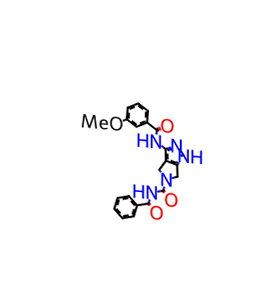 COc1cccc(C(=O)Nc2n[nH]c3c2CN(C(=O)NC(=O)c2ccccc2)C3)c1